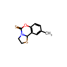 Cc1ccc2c(c1)C1SCCN1C(=S)O2